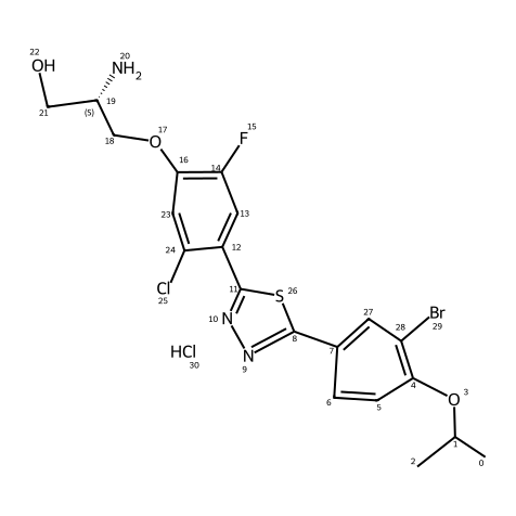 CC(C)Oc1ccc(-c2nnc(-c3cc(F)c(OC[C@@H](N)CO)cc3Cl)s2)cc1Br.Cl